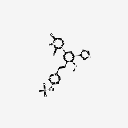 COc1c(C=Cc2ccc(NS(C)(=O)=O)cc2)cc(-n2ccc(=O)[nH]c2=O)cc1-c1ccoc1